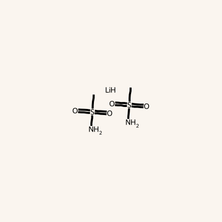 CS(N)(=O)=O.CS(N)(=O)=O.[LiH]